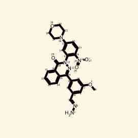 COc1cc(/C=N/N)cc(-c2nn(-c3cc(N4CCOCC4)ccc3[N+](=O)[O-])c(=O)c3ccccc23)c1